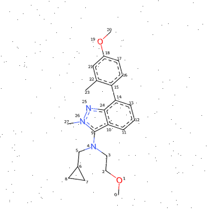 COCCN(CC1CC1)c1c2cccc(-c3ccc(OC)cc3C)c2nn1C